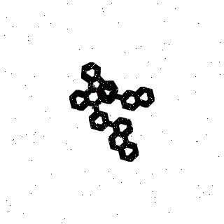 c1cc(-c2ccc3ccccc3c2)cc(N(c2cccc(-c3cccc4c3ccc3ccccc34)c2)c2ccccc2-n2c3ccccc3c3ccccc32)c1